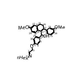 CCCCCCN=CCOc1ccc(C(O)C2=C(c3cccc(OC)c3)CCc3cc(OC)ccc32)cc1